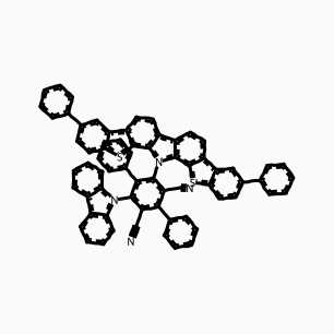 N#Cc1c(-c2ccccc2)c(C#N)c(-n2c3c(ccc4c5cc(-c6ccccc6)ccc5sc43)c3ccc4c5cc(-c6ccccc6)ccc5sc4c32)c(-c2ccccc2)c1-n1c2ccccc2c2ccccc21